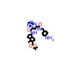 Cc1c(C(=O)OC(C)(C)C)ccc2c1CC[C@@H]2NC(=O)c1cc(C(=O)NCc2ccc(N)cc2)nc2ncnn12